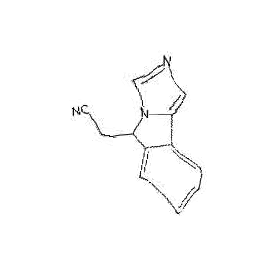 N#CCC1c2ccccc2-c2cncn21